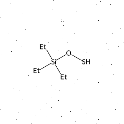 CC[Si](CC)(CC)OS